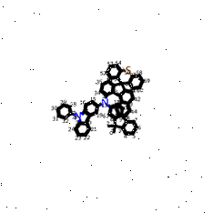 CC1(C)c2ccccc2-c2ccc(N(c3ccc4c(c3)c3ccccc3n4-c3ccccc3)c3cccc4c3-c3c(ccc5ccccc35)C43c4ccccc4Sc4ccccc43)cc21